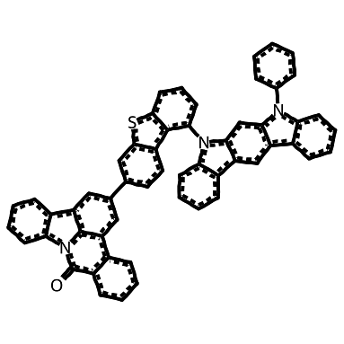 O=c1c2ccccc2c2cc(-c3ccc4c(c3)sc3cccc(-n5c6ccccc6c6cc7c8ccccc8n(-c8ccccc8)c7cc65)c34)cc3c4ccccc4n1c23